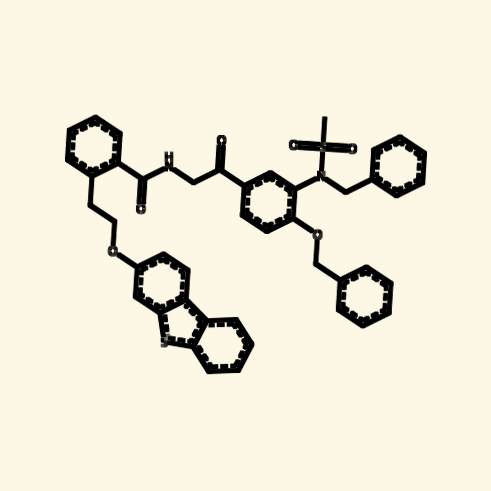 CS(=O)(=O)N(Cc1ccccc1)c1cc(C(=O)CNC(=O)c2ccccc2CCOc2ccc3c(c2)sc2ccccc23)ccc1OCc1ccccc1